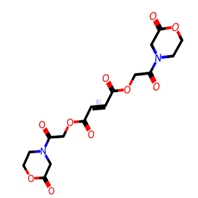 O=C(/C=C/C(=O)OCC(=O)N1CCOC(=O)C1)OCC(=O)N1CCOC(=O)C1